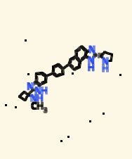 CNC1(c2nc3ccc(-c4ccc(-c5ccc6c(ccc7nc([C@@H]8CCCN8)[nH]c76)c5)cc4)cc3[nH]2)CCC1